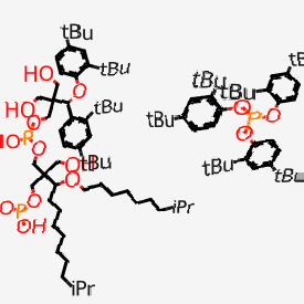 CC(C)(C)c1ccc(OP(Oc2ccc(C(C)(C)C)cc2C(C)(C)C)Oc2ccc(C(C)(C)C)cc2C(C)(C)C)c(C(C)(C)C)c1.CC(C)CCCCCCCOC(CCCCCCCC(C)C)C(CO)(COP(O)O)COP(O)OCC(CO)(CO)C(Oc1ccc(C(C)(C)C)cc1C(C)(C)C)c1ccc(C(C)(C)C)cc1C(C)(C)C